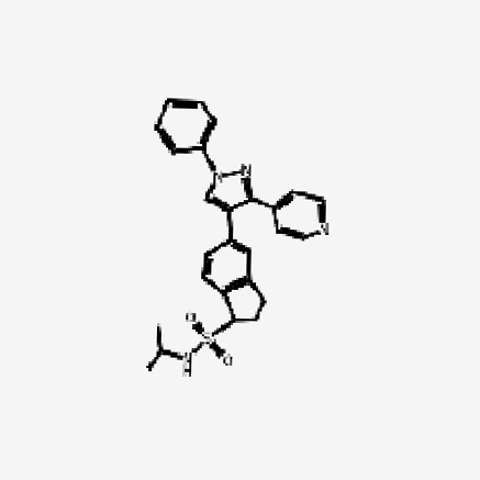 CC(C)NS(=O)(=O)C1CCc2cc(-c3cn(-c4ccccc4)nc3-c3ccncc3)ccc21